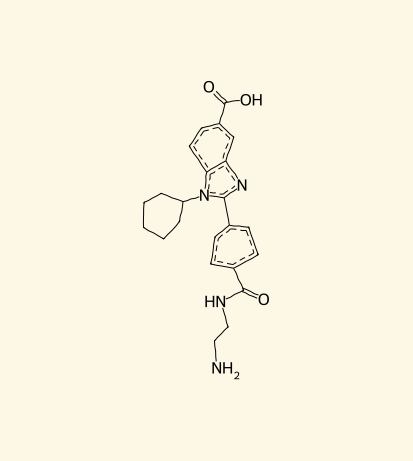 NCCNC(=O)c1ccc(-c2nc3cc(C(=O)O)ccc3n2C2CCCCC2)cc1